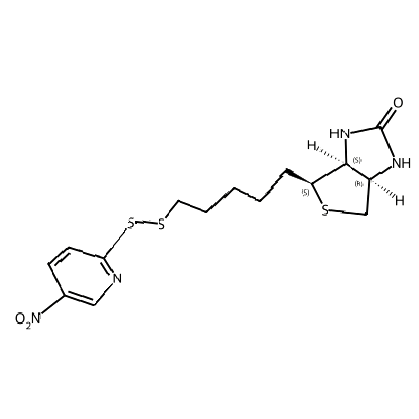 O=C1N[C@H]2[C@H](CS[C@H]2CCCCCSSc2ccc([N+](=O)[O-])cn2)N1